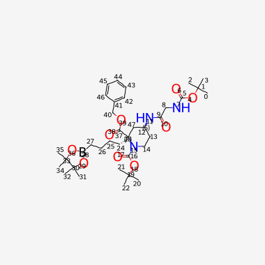 CC(C)(C)OC(=O)NCC(=O)N[C@H]1CCN(C(=O)OC(C)(C)C)[C@@](CCCCB2OC(C)(C)C(C)(C)O2)(C(=O)OCc2ccccc2)C1